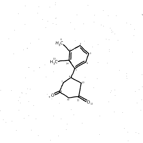 Cc1cccc(C2CC(=O)CC(=O)C2)c1C